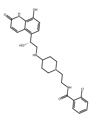 O=C(NCCN1CCC(NC[C@H](O)c2ccc(O)c3[nH]c(=O)ccc23)CC1)c1ccccc1Cl